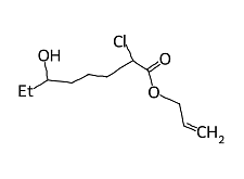 C=CCOC(=O)C(Cl)CCCC(O)CC